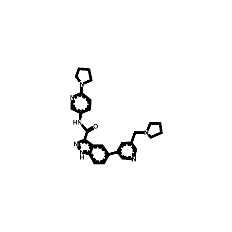 O=C(Nc1ccc(N2CCCC2)nc1)c1n[nH]c2ccc(-c3cncc(CN4CCCC4)c3)cc12